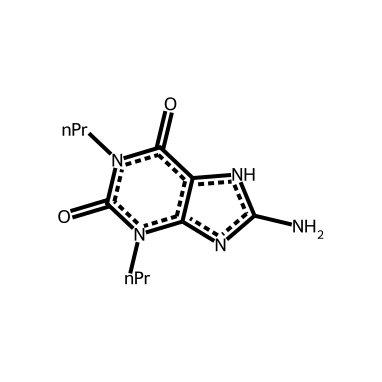 CCCn1c(=O)c2[nH]c(N)nc2n(CCC)c1=O